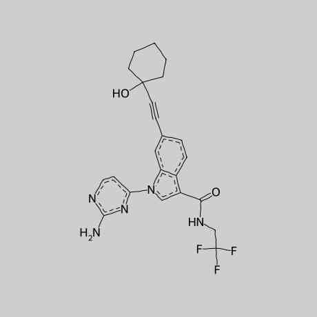 Nc1nccc(-n2cc(C(=O)NCC(F)(F)F)c3ccc(C#CC4(O)CCCCC4)cc32)n1